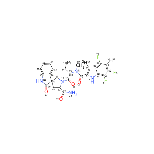 [2H]c1c(F)c(F)c2[nH]c(C(=O)N(C)[C@@H](CC(C)C)C(=O)N3CC4(CC3C(N)=O)C(=O)Nc3ccccc34)c([2H])c2c1F